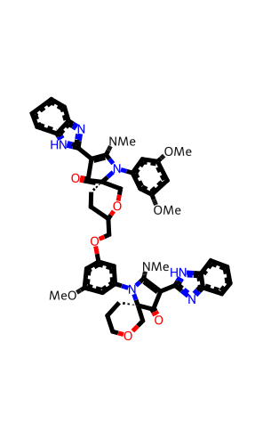 CNC1=C(c2nc3ccccc3[nH]2)C(=O)[C@@]2(CCC(COc3cc(OC)cc(N4C(NC)=C(c5nc6ccccc6[nH]5)C(=O)[C@]45CCCOC5)c3)OC2)N1c1cc(OC)cc(OC)c1